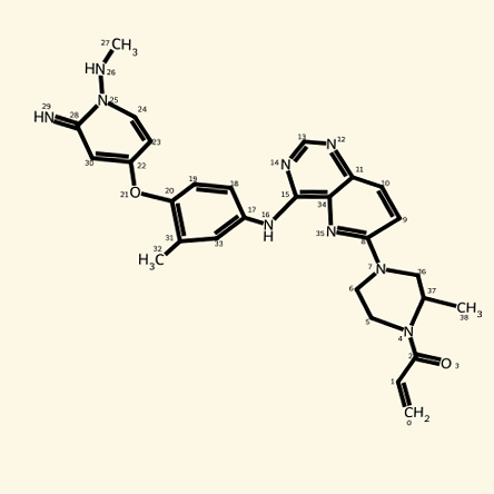 C=CC(=O)N1CCN(c2ccc3ncnc(Nc4ccc(Oc5ccn(NC)c(=N)c5)c(C)c4)c3n2)CC1C